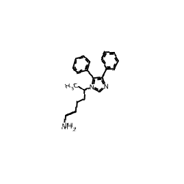 CC(CCCCN)n1cnc(-c2ccccc2)c1-c1ccccc1